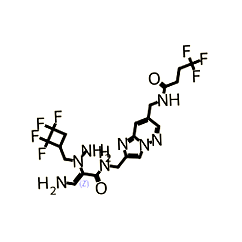 N/C=C(/C(=O)NCc1cn2ncc(CNC(=O)CCC(F)(F)F)cc2n1)N(N)CC1CC(F)(F)C1(F)F